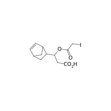 O=C(O)CC(OC(=O)CI)C1CC2C=CC1C2